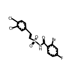 O=C(NS(=O)(=O)C=Cc1ccc(Cl)c(Cl)c1)c1ccc(F)cc1Br